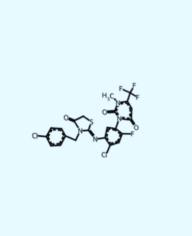 Cn1c(C(F)(F)F)cc(=O)n(-c2cc(N=C3SCC(=O)N3Cc3ccc(Cl)cc3)c(Cl)cc2F)c1=O